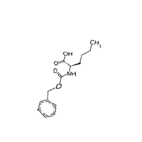 CCCC[C@@H](NC(=O)OCc1ccccc1)C(=O)O